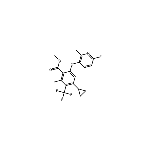 COC(=O)c1c(Oc2ccc(F)nc2C)cc(C2CC2)c(C(F)(F)F)c1C